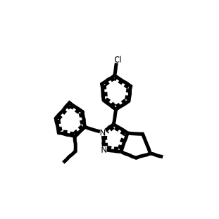 CCc1ccccc1-n1nc2c(c1-c1ccc(Cl)cc1)CC(C)C2